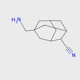 N#CC1C2CC3CC1CC(CN)(C3)C2